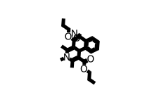 CCCOC(=O)C1=C(C)N(C)C(C)=C(C(=O)OCCC)C1c1ccccc1C#N